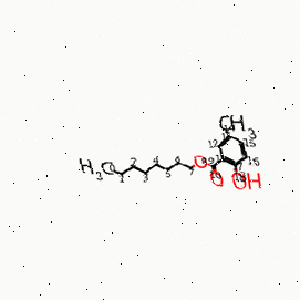 CCCCCCCCOC(=O)c1cc(C)ccc1O